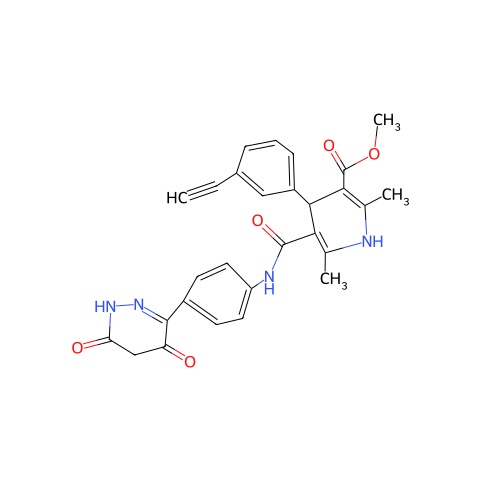 C#Cc1cccc(C2C(C(=O)Nc3ccc(C4=NNC(=O)CC4=O)cc3)=C(C)NC(C)=C2C(=O)OC)c1